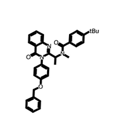 CC(c1nc2ccccc2c(=O)n1-c1ccc(OCc2ccccc2)cc1)N(C)C(=O)c1ccc(C(C)(C)C)cc1